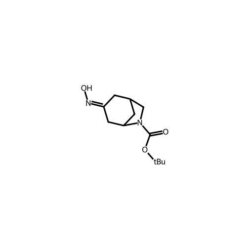 CC(C)(C)OC(=O)N1CC2C/C(=N\O)CC1C2